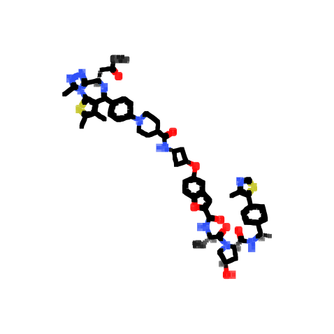 COC(=O)C[C@@H]1N=C(c2ccc(N3CCC(C(=O)N[C@H]4C[C@H](Oc5ccc6oc(C(=O)N[C@H](C(=O)N7C[C@H](O)C[C@H]7C(=O)N[C@@H](C)c7ccc(-c8scnc8C)cc7)C(C)(C)C)cc6c5)C4)CC3)cc2)c2c(sc(C)c2C)-n2c(C)nnc21